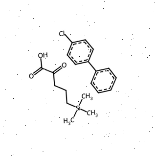 C[Si](C)(C)CCCC(=O)C(=O)O.Clc1ccc(-c2ccccc2)cc1